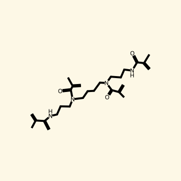 C=C(C)C(=C)NCCCN(CCCCN(CCCNC(=O)C(=C)C)C(=O)C(=C)C)C(=O)C(=C)C